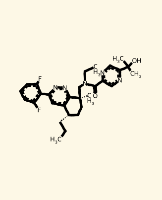 CCC[C@H]1CC[C@](C)(CN(CC)C(=O)c2cnc(C(C)(C)O)cn2)c2nnc(-c3c(F)cccc3F)cc21